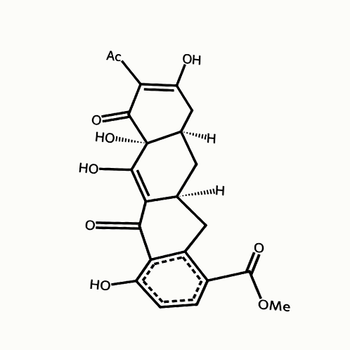 COC(=O)c1ccc(O)c2c1C[C@@H]1C[C@@H]3CC(O)=C(C(C)=O)C(=O)[C@]3(O)C(O)=C1C2=O